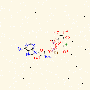 Nc1ncnc2c1ncn2[C@@H]1O[C@H](COP(=O)(S)OP(=O)(O)OC2OC([C@@H](F)CO)C(O)C(O)C2O)[C@@H](N)[C@H]1O